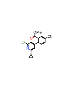 COC(=O)c1cc(C#N)ccc1-c1cc(Cl)nc(C2CC2)c1